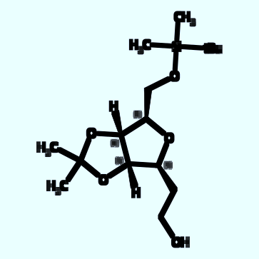 CC1(C)O[C@@H]2[C@H](O1)[C@@H](CO[Si](C)(C)C(C)(C)C)O[C@H]2CCO